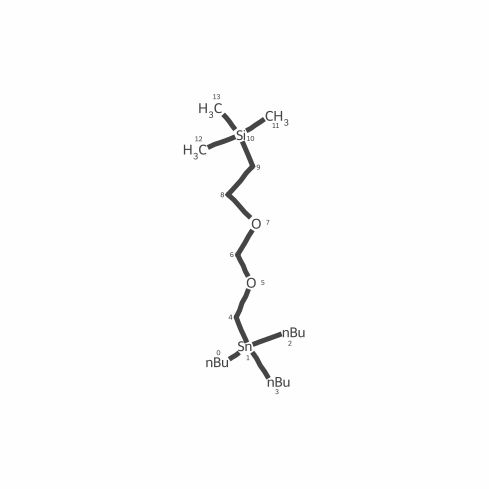 CCC[CH2][Sn]([CH2]CCC)([CH2]CCC)[CH2]OCOCC[Si](C)(C)C